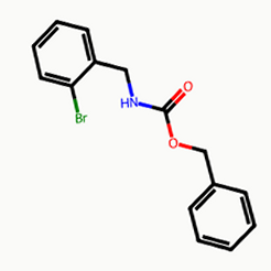 O=C(NCc1ccccc1Br)OCc1ccccc1